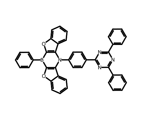 c1ccc(B2c3oc4ccccc4c3N(c3ccc(-c4nc(-c5ccccc5)nc(-c5ccccc5)n4)cc3)c3c2oc2ccccc32)cc1